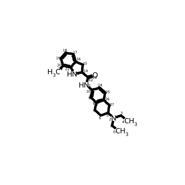 CCN(CC)C1CCc2cc(NC(=O)C3Cc4cccc(C)c4N3)ccc2C1